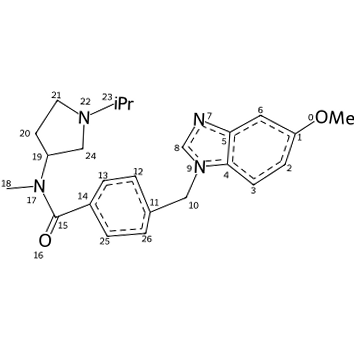 COc1ccc2c(c1)ncn2Cc1ccc(C(=O)N(C)C2CCN(C(C)C)C2)cc1